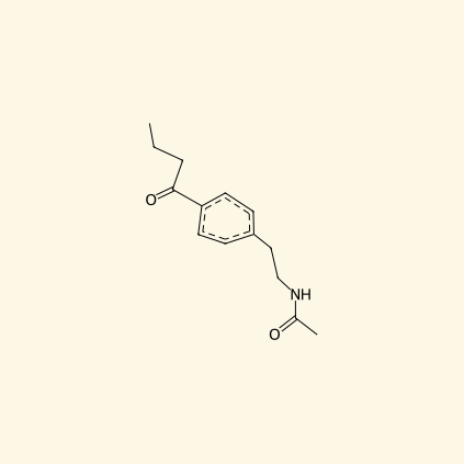 CCCC(=O)c1ccc(CCNC(C)=O)cc1